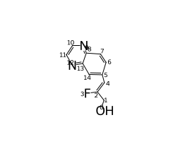 OCC(F)=Cc1ccc2nccnc2c1